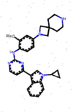 COc1cc(N2CC3(CCNCC3)C2)ccc1Nc1nccc(-c2cn(C3CC3)c3ccccc23)n1